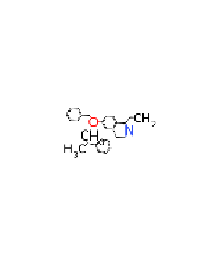 C=CC1=NCCc2cc(OCc3ccccc3)ccc21.CC(C)c1ccccc1